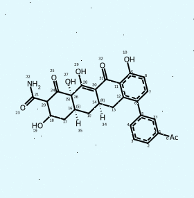 CC(=O)c1cccc(-c2ccc(O)c3c2C[C@H]2C[C@H]4CC(O)C(C(N)=O)C(=O)[C@@]4(O)C(O)=C2C3=O)c1